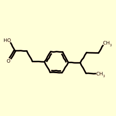 CCCC(CC)c1ccc(CCC(=O)O)cc1